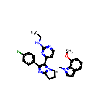 CCNc1nccc(-c2c(-c3ccc(F)cc3)nc3n2[C@H](Cn2ccc4cccc(OC)c42)CC3)n1